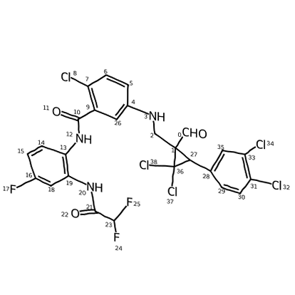 O=CC1(CNc2ccc(Cl)c(C(=O)Nc3ccc(F)cc3NC(=O)C(F)F)c2)C(c2ccc(Cl)c(Cl)c2)C1(Cl)Cl